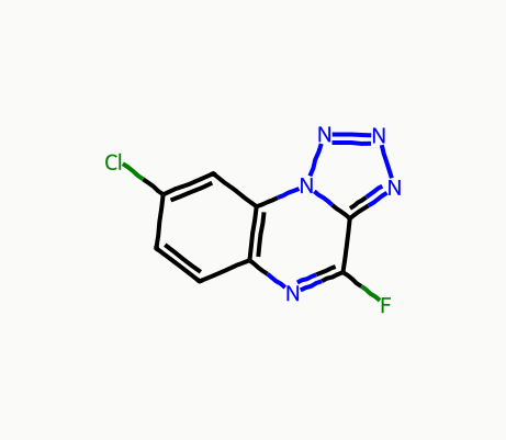 Fc1nc2ccc(Cl)cc2n2nnnc12